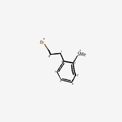 CSc1ccccc1CCBr